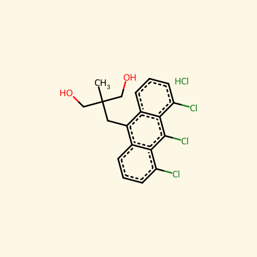 CC(CO)(CO)Cc1c2cccc(Cl)c2c(Cl)c2c(Cl)cccc12.Cl